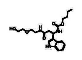 CCCCOC(=O)NC(CC(=O)NCCOCCO)c1c[nH]c2ccccc12